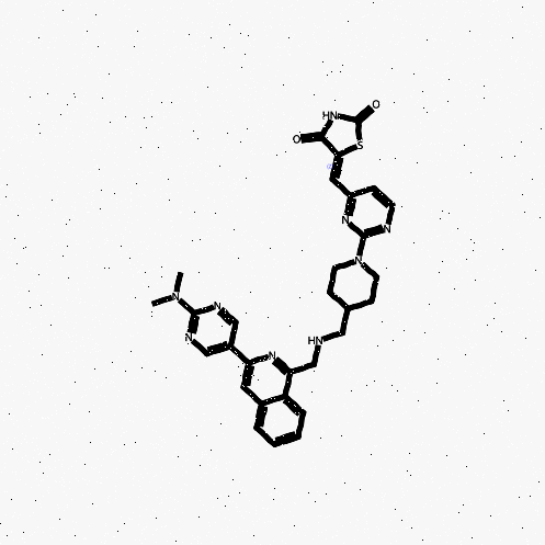 CN(C)c1ncc(-c2cc3ccccc3c(CNCC3CCN(c4nccc(/C=C5\SC(=O)NC5=O)n4)CC3)n2)cn1